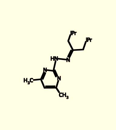 Cc1cc(C)nc(NN=C(CC(C)C)CC(C)C)n1